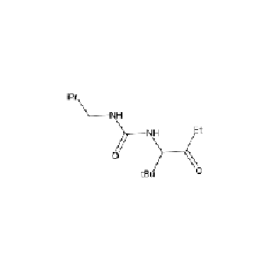 CCC(=O)C(NC(=O)NCC(C)C)C(C)(C)C